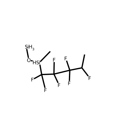 CC(F)C(F)(F)C(F)(F)C(F)(F)[SiH](C)O[SiH3]